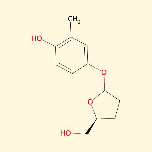 Cc1cc(OC2CC[C@@H](CO)O2)ccc1O